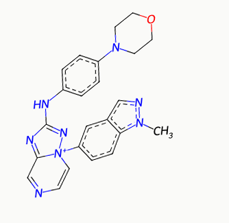 Cn1ncc2cc([N+]34C=CN=CC3=NC(Nc3ccc(N5CCOCC5)cc3)=N4)ccc21